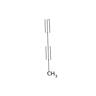 [C]#CC#CC